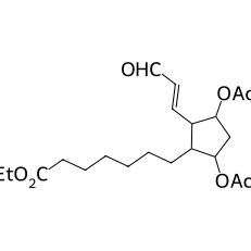 CCOC(=O)CCCCCCC1C(OC(C)=O)CC(OC(C)=O)C1C=CC=O